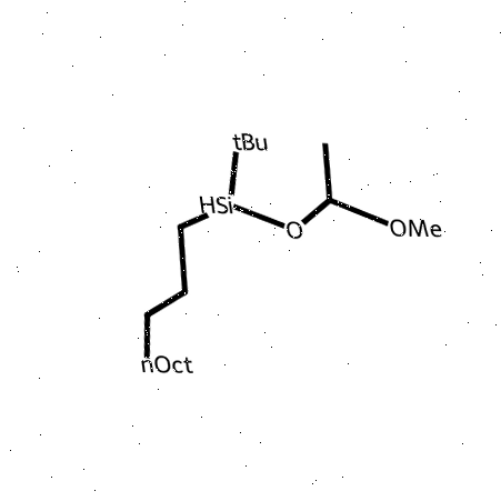 CCCCCCCCCCC[SiH](OC(C)OC)C(C)(C)C